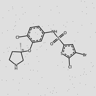 C[C@@]1(Oc2cc(NS(=O)(=O)c3cc(Br)c(Cl)s3)ccc2Cl)CCNC1